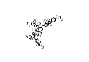 Cc1ccc(S(=O)(=O)N2CCC(=CC3=C(C(=O)OC(=O)C(F)(F)F)N4C(=O)[C@@H](NC(=O)/C(=N\O)c5csc(N)n5)[C@H]4SC3)C2=O)cc1